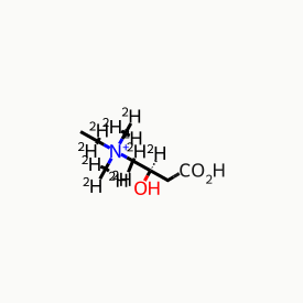 [2H]C([2H])([2H])[N+](C([2H])([2H])[2H])(C([2H])([2H])C)C([2H])([2H])[C@]([2H])(O)CC(=O)O